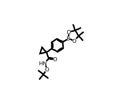 CC(C)(C)ONC(=O)C1(c2ccc(B3OC(C)(C)C(C)(C)O3)cc2)CC1